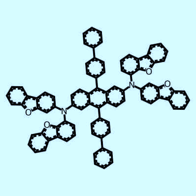 c1ccc(-c2ccc(-c3c4ccc(N(c5ccc6c(c5)oc5ccccc56)c5cccc6c5oc5ccccc56)cc4c(-c4ccc(-c5ccccc5)cc4)c4ccc(N(c5ccc6c(c5)oc5ccccc56)c5cccc6c5oc5ccccc56)cc34)cc2)cc1